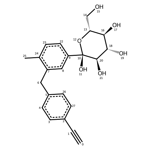 C#Cc1ccc(Cc2cc([C@]3(O)O[C@H](CO)[C@@H](O)[C@H](O)[C@H]3O)ccc2C)cc1